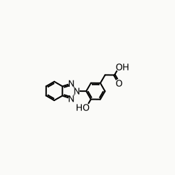 O=C(O)Cc1ccc(O)c(-n2nc3ccccc3n2)c1